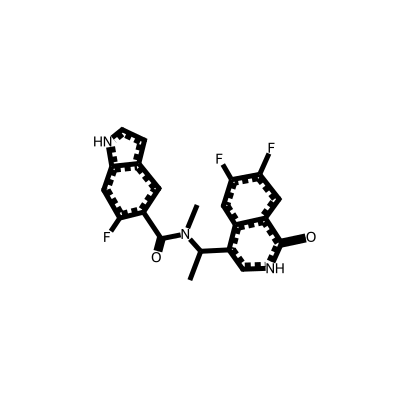 CC(c1c[nH]c(=O)c2cc(F)c(F)cc12)N(C)C(=O)c1cc2cc[nH]c2cc1F